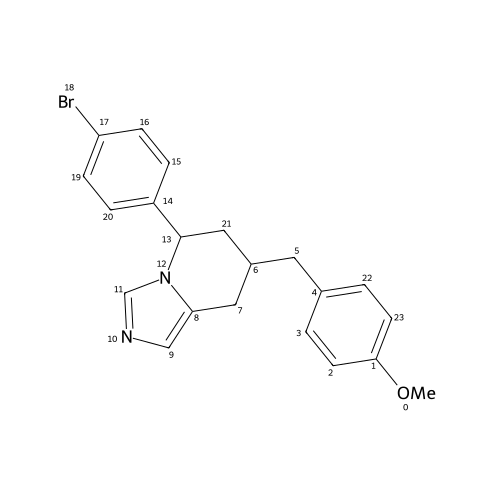 COc1ccc(CC2Cc3cncn3C(c3ccc(Br)cc3)C2)cc1